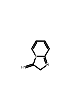 N=C1CN=C2C=CC=CN12